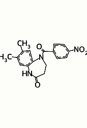 Cc1cc2c(cc1C)N(C(=O)c1ccc([N+](=O)[O-])cc1)CCC(=O)N2